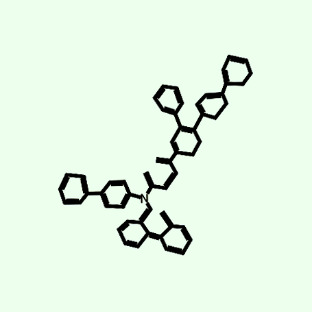 C=C(/C=C\C(=C)N(/C=c1\cccc\c1=c1/ccccc1=C)c1ccc(-c2ccccc2)cc1)C1=CC(c2ccccc2)=C(C2=CC=C(C3=CC=CCC3)CC2)CC1